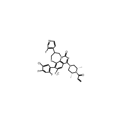 C=CC(=O)N1[C@H](C)CN(c2nc(=O)n3c4c(c(-c5cc(Cl)c(F)cc5F)c(C(F)(F)F)cc24)SCC(c2ccncc2F)C3)C[C@@H]1C